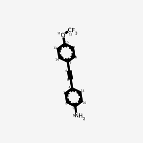 Nc1ccc(C#Cc2ccc(OC(F)(F)F)cc2)cc1